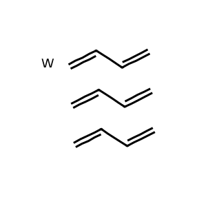 C=CC=C.C=CC=C.C=CC=C.[W]